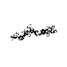 O=C1CCC(N2C(=O)c3ccc(CN4CCC(n5cc(NC(=O)c6coc(-c7ccnc(NCC(F)(F)F)c7)n6)c(C(F)F)n5)CC4)cc3C2=O)C(=O)N1